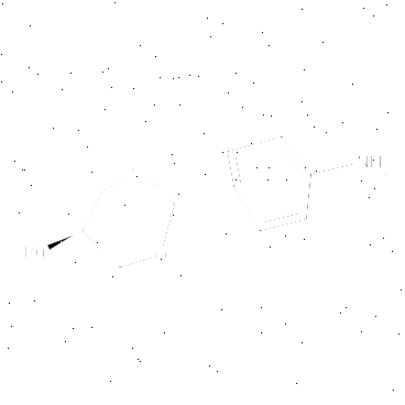 CCCC[C@H]1CO[C@H](c2ccc(N)cc2)OC1